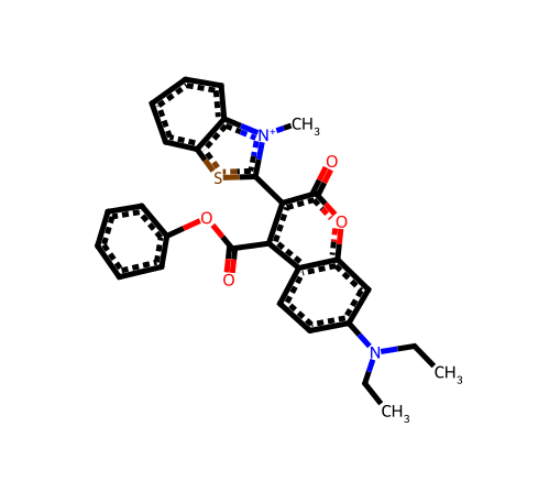 CCN(CC)c1ccc2c(C(=O)Oc3ccccc3)c(-c3sc4ccccc4[n+]3C)c(=O)oc2c1